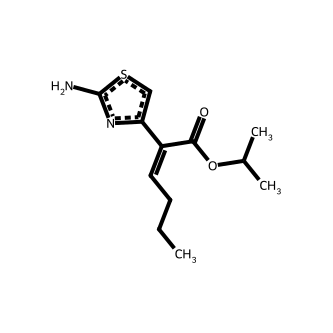 CCCC=C(C(=O)OC(C)C)c1csc(N)n1